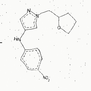 O=[N+]([O-])c1ccc(Nc2cnn(CC3CCCO3)c2)cc1